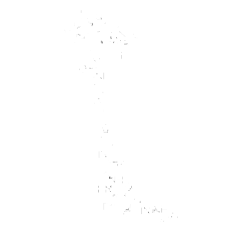 COC1C(OC(=O)NCCOCCOCCNC(=O)CNN[C@H](C(=O)C(=O)CNNCC(C)=O)C(C)C)CC[C@]2(CO2)C1C1(C)O[C@@H]1CC=C(C)C